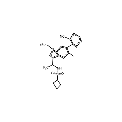 CC(C)(C)Cn1cc(C(NS(=O)(=O)C2CCC2)C(F)(F)F)c2cc(F)c(-c3cnccc3C#N)cc21